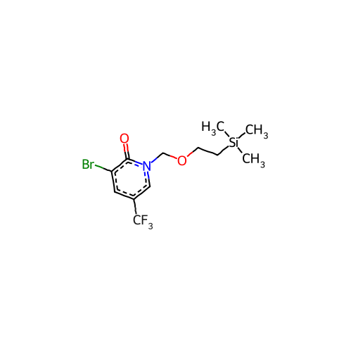 C[Si](C)(C)CCOCn1cc(C(F)(F)F)cc(Br)c1=O